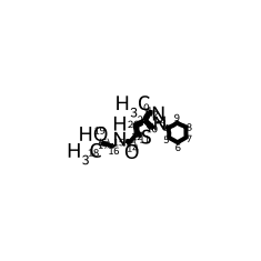 Cc1nn(C2CCCCC2)c2sc(C(=O)NC[C@H](C)O)cc12